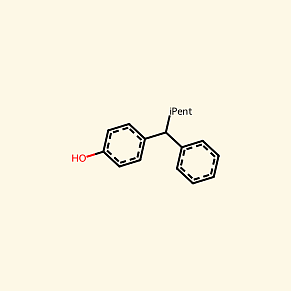 CCCC(C)C(c1ccccc1)c1ccc(O)cc1